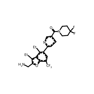 CCc1c(-c2ccc(C(=O)N3CCC(F)(F)CC3)cn2)cc(C(F)(F)F)c2oc(CN)c(CC)c12